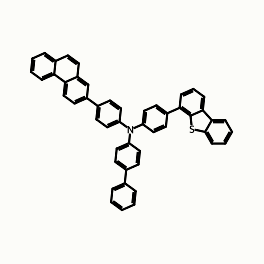 c1ccc(-c2ccc(N(c3ccc(-c4ccc5c(ccc6ccccc65)c4)cc3)c3ccc(-c4cccc5c4sc4ccccc45)cc3)cc2)cc1